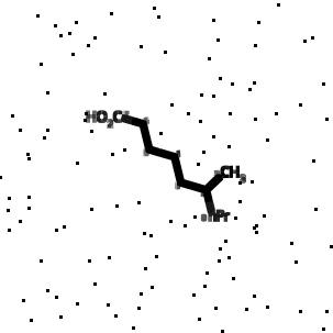 CCCC(C)CCCCC(=O)O